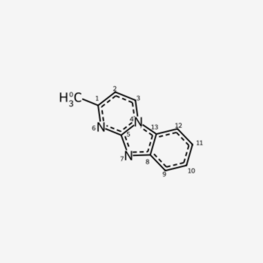 Cc1ccn2c(n1)nc1ccccc12